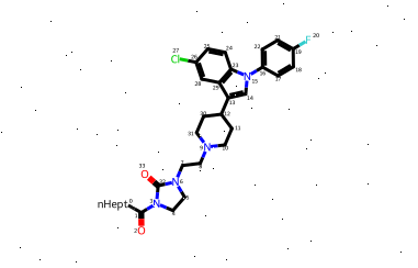 CCCCCCCC(=O)N1CCN(CCN2CCC(c3cn(-c4ccc(F)cc4)c4ccc(Cl)cc34)CC2)C1=O